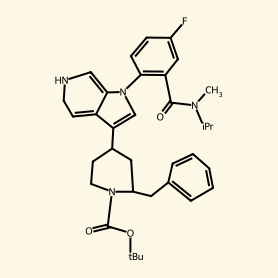 CC(C)N(C)C(=O)c1cc(F)ccc1-n1cc(C2CCN(C(=O)OC(C)(C)C)C(Cc3ccccc3)C2)c2c1=CNCC=2